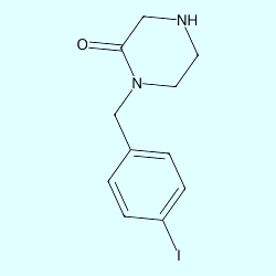 O=C1CNCCN1Cc1ccc(I)cc1